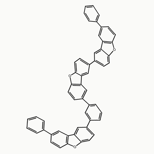 c1ccc(-c2ccc3oc4ccc(-c5cccc(-c6ccc7oc8ccc(-c9ccc%10oc%11ccc(-c%12ccccc%12)cc%11c%10c9)cc8c7c6)c5)cc4c3c2)cc1